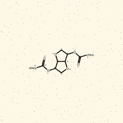 CCCCCCC(=O)OC1COC2C(OC(=O)CCCCCC)COC12